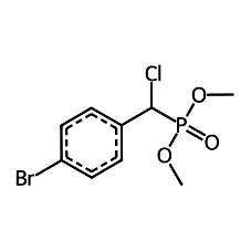 COP(=O)(OC)C(Cl)c1ccc(Br)cc1